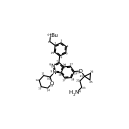 CC(C)(C)Cc1cccc(-c2nn(C3CCCCO3)c3ccc(OC4(CCN)CC4)cc23)c1